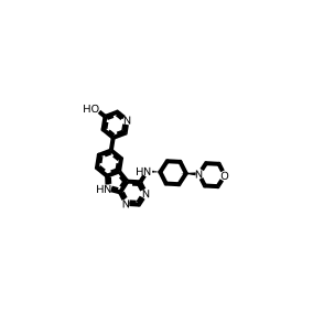 Oc1cncc(-c2ccc3[nH]c4ncnc(N[C@H]5CC[C@H](N6CCOCC6)CC5)c4c3c2)c1